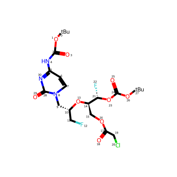 CC(C)(C)OC(=O)Nc1ccn(C[C@@H](CF)O[C@H](COC(=O)CCl)[C@H](F)OC(=O)OC(C)(C)C)c(=O)n1